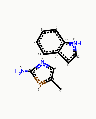 Cc1cnc(N)s1.c1ccc2[nH]ccc2c1